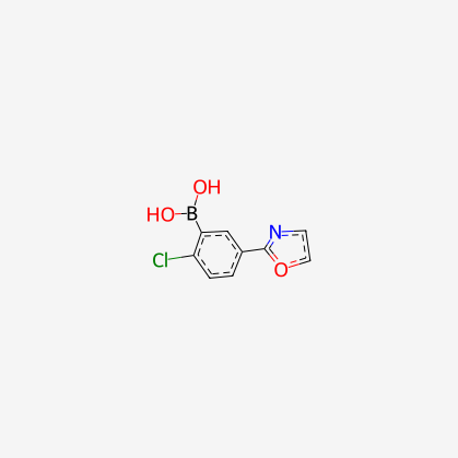 OB(O)c1cc(-c2ncco2)ccc1Cl